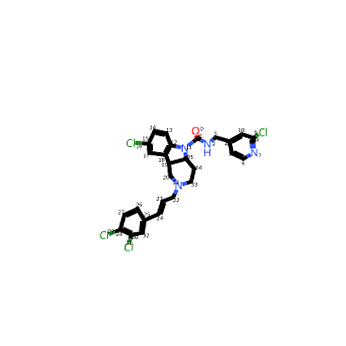 O=C(NCc1ccnc(Cl)c1)N1c2ccc(Cl)cc2C2CN(C/C=C/c3ccc(Cl)c(Cl)c3)CCC21